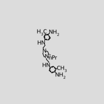 CCC[N+]1(CCNc2ccc(N)c(C)c2)CCN(CCNc2ccc(N)c(C)c2)CC1